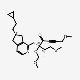 COCC#CC(=O)[C@](Cc1nccc2c1C[C@H](CCC1CC1)C2)(OCOC)[C@@H](C)CSC